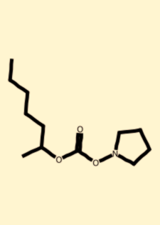 CCCCCC(C)OC(=O)ON1CCCC1